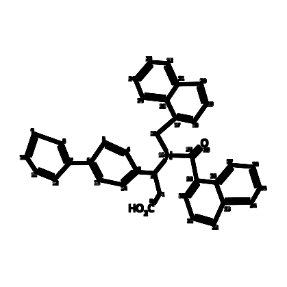 O=C(O)CC(c1ccc(-c2ccccc2)cc1)N(Cc1cccc2ccccc12)C(=O)c1cccc2ccccc12